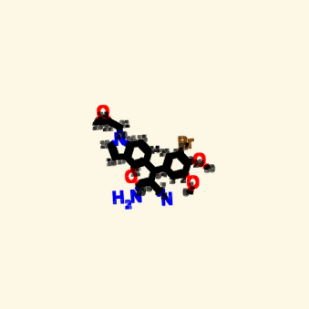 COc1cc(C2C(C#N)=C(N)Oc3c2ccc2c3ccn2CC2CO2)cc(Br)c1OC